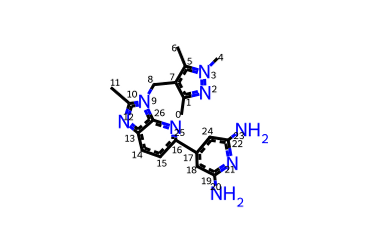 Cc1nn(C)c(C)c1Cn1c(C)nc2ccc(-c3cc(N)nc(N)c3)nc21